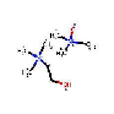 C[N+](C)(C)CCO.C[N+](C)(C)[O-]